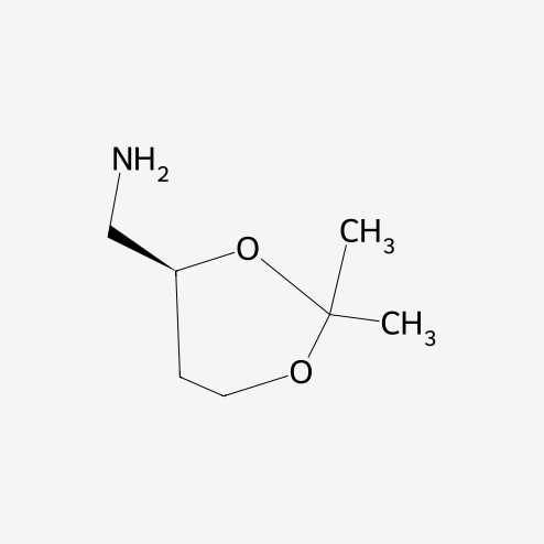 CC1(C)OCC[C@@H](CN)O1